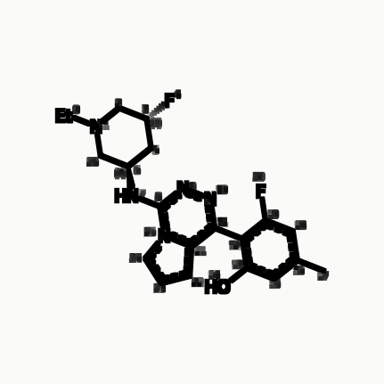 CCN1C[C@H](F)C[C@@H](Nc2nnc(-c3c(O)cc(C)cc3F)c3cccn23)C1